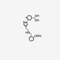 COc1ccccc1CNCCn1cnc(-c2cc(C(O)O)ccn2)c1